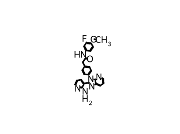 COc1ccc(NC(=O)Cc2ccc(-n3c(-c4cccnc4N)nc4cccnc43)cc2)cc1F